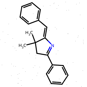 CC1(C)CC(c2ccccc2)=N/C1=C/c1ccccc1